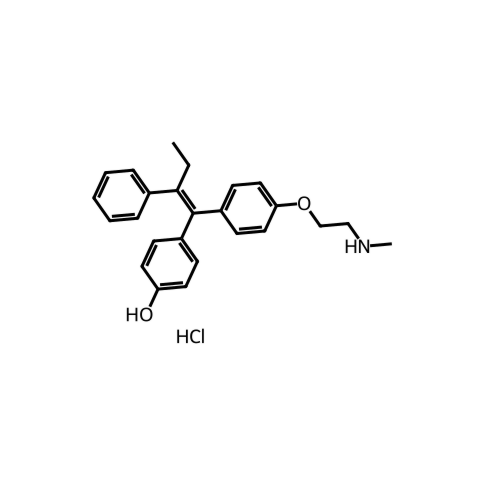 CCC(=C(c1ccc(O)cc1)c1ccc(OCCNC)cc1)c1ccccc1.Cl